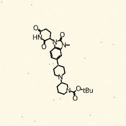 Cn1c(=O)n(C2CCC(=O)NC2=O)c2ccc(C3CCN(C4CCCN(C(=O)OC(C)(C)C)C4)CC3)cc21